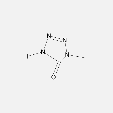 Cn1nnn(I)c1=O